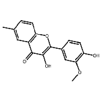 COc1cc(-c2oc3ccc(C)cc3c(=O)c2O)ccc1O